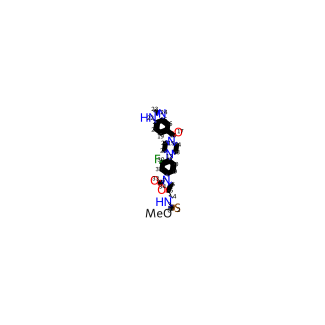 COC(=S)NC[C@H]1CN(c2ccc(N3CCN(C(=O)c4ccc5[nH]cnc5c4)CC3)c(F)c2)C(=O)O1